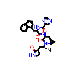 N#CC(CC1CCNC1=O)NC(=O)C(CC1CC1)NC(=O)C(Cc1cccc2ccccc12)NC(=O)c1cnccn1